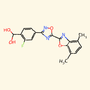 Cc1ccc(C)c2oc(-c3nc(-c4ccc(C(O)O)c(F)c4)no3)nc12